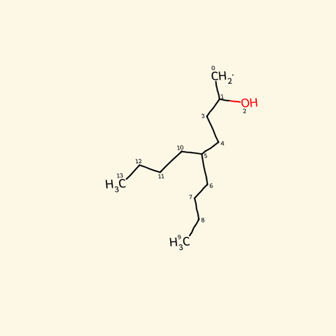 [CH2]C(O)CCC(CCCC)CCCC